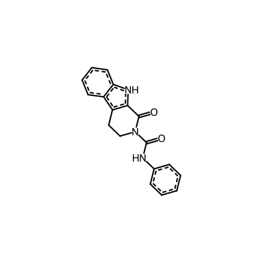 O=C(Nc1ccccc1)N1CCc2c([nH]c3ccccc23)C1=O